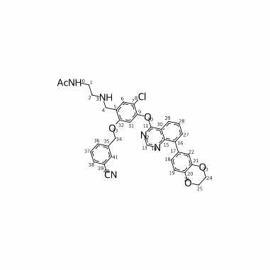 CC(=O)NCCNCc1cc(Cl)c(Oc2ncnc3c(-c4ccc5c(c4)OCCO5)cccc23)cc1OCc1cccc(C#N)c1